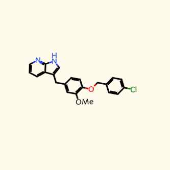 COc1cc(Cc2c[nH]c3ncccc23)ccc1OCc1ccc(Cl)cc1